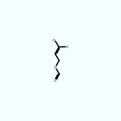 O=[C]OCC=C(Cl)Cl